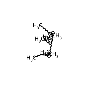 CCCCCCC#CCOC(=O)C(C)(C)CCCCCC(CCCCCC(C)(C)C(=O)OCCCCCCCCC)CC(=O)CCCN(C)C